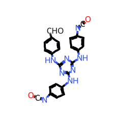 O=C=Nc1ccc(Nc2nc(Nc3ccc(C=O)cc3)nc(Nc3ccc(N=C=O)cc3)n2)cc1